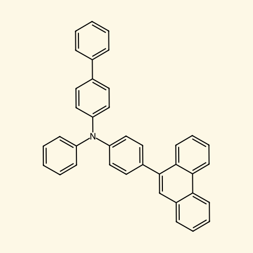 c1ccc(-c2ccc(N(c3ccccc3)c3ccc(-c4cc5ccccc5c5ccccc45)cc3)cc2)cc1